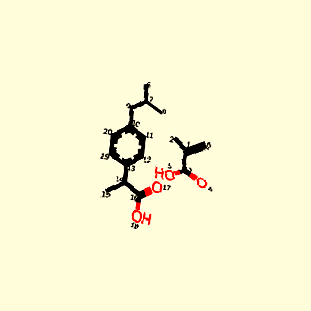 C=C(C)C(=O)O.CC(C)Cc1ccc(C(C)C(=O)O)cc1